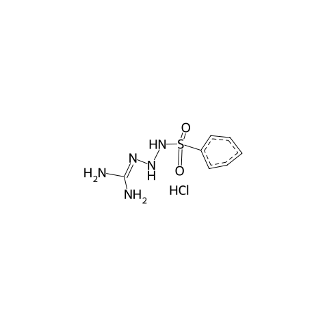 Cl.NC(N)=NNNS(=O)(=O)c1ccccc1